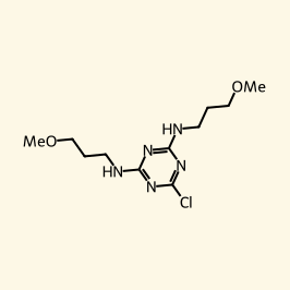 COCCCNc1nc(Cl)nc(NCCCOC)n1